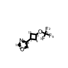 FC(F)(F)OC1CC(c2co[c]n2)C1